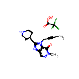 CC#CCn1c(C2CCNCC2)nc2cnn(C)c(=O)c21.O=C(O)C(F)(F)F